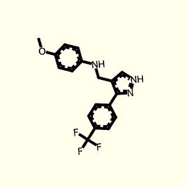 COc1ccc(NCc2c[nH]nc2-c2ccc(C(F)(F)F)cc2)cc1